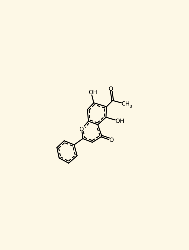 CC(=O)c1c(O)cc2oc(-c3ccccc3)cc(=O)c2c1O